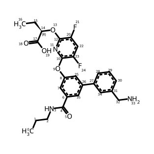 CCCNC(=O)c1cc(Oc2nc(O[C@H](CC)C(=O)O)c(F)cc2F)cc(-c2cccc(CN)c2)c1